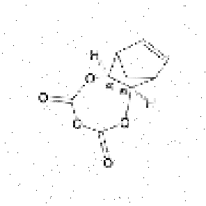 O=C1OC(=O)O[C@H]2C3C=CC(C3)[C@H]2O1